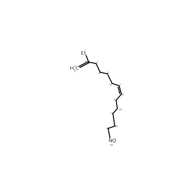 C=C(CC)CCCC/C=C\CCCCCN=O